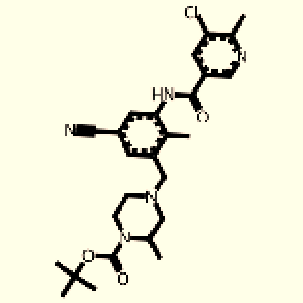 Cc1ncc(C(=O)Nc2cc(C#N)cc(CN3CCN(C(=O)OC(C)(C)C)C(C)C3)c2C)cc1Cl